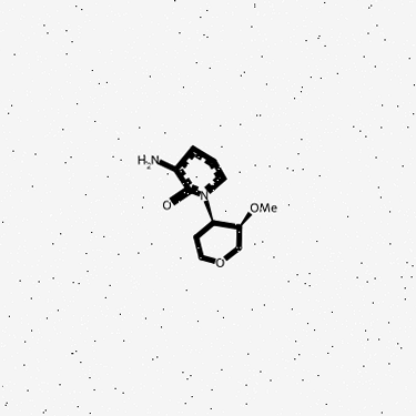 CO[C@H]1COCC[C@H]1n1cccc(N)c1=O